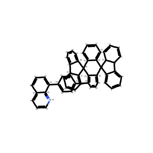 C1=CC2c3ccccc3C3(c4ccccc4C4(c5ccccc5-c5ccccc54)c4c(-c5ccc(-c6cccc7cccnc67)cc5)cccc43)C2C=C1